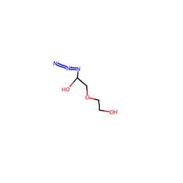 [N-]=[N+]=NC(O)COCCO